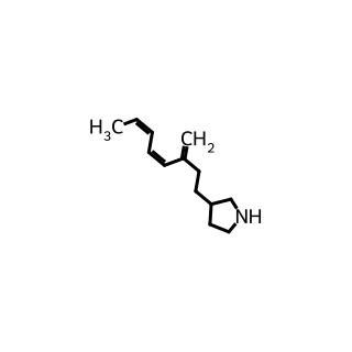 C=C(/C=C\C=C/C)CCC1CCNC1